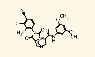 COc1cc(NC(=O)C2CN3CC4C(=O)N(c5ccc(C#N)c(Cl)c5C)C(=O)[N+]24C3)cc(OC)c1